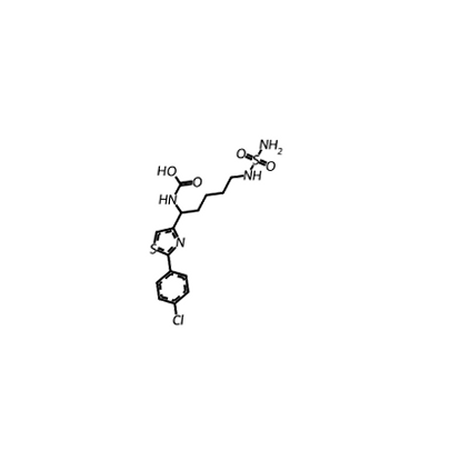 NS(=O)(=O)NCCCCC(NC(=O)O)c1csc(-c2ccc(Cl)cc2)n1